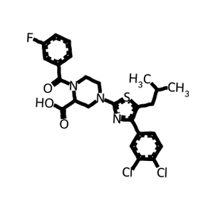 CC(C)Cc1sc(N2CCN(C(=O)c3cccc(F)c3)C(C(=O)O)C2)nc1-c1ccc(Cl)c(Cl)c1